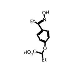 CC/C(=N\O)c1ccc(OC(CC)C(=O)O)cc1